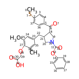 CSc1ccc(C(=O)C2CN(C(=O)Oc3ccccc3)CC2Cc2cc(C)c(OCC(=O)O)c(C)c2)cc1